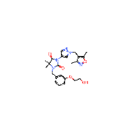 Cc1noc(C)c1Cn1cc(N2C(=O)N(Cc3cccc(OCCO)c3)C(C)(C)C2=O)cn1